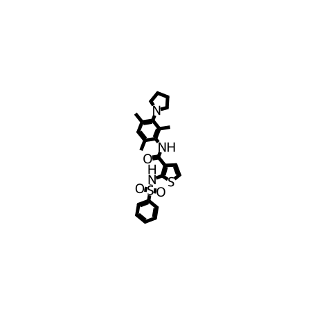 Cc1cc(C)c(N2CCCC2)c(C)c1NC(=O)c1ccsc1NS(=O)(=O)c1ccccc1